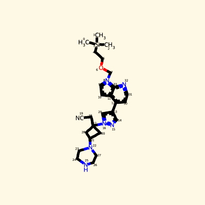 C[Si](C)(C)CCOCn1ccc2c(-c3cnn(C4(CC#N)CC(N5CCNCC5)C4)c3)ccnc21